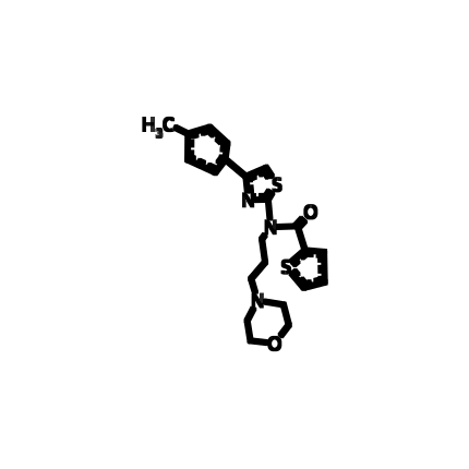 Cc1ccc(-c2csc(N(CCCN3CCOCC3)C(=O)c3cccs3)n2)cc1